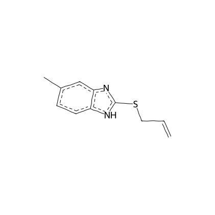 C=CCSc1nc2cc(C)ccc2[nH]1